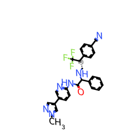 Cn1cc(-c2ccc(NC(=O)C(NC[C@@H](c3ccc(C#N)cc3)C(F)(F)F)c3ccccc3)nc2)cn1